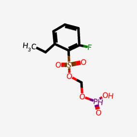 CCc1cccc(F)c1S(=O)(=O)OCO[PH](=O)O